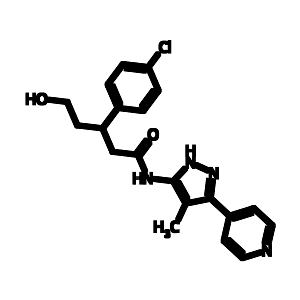 Cc1c(-c2ccncc2)n[nH]c1NC(=O)CC(CCO)c1ccc(Cl)cc1